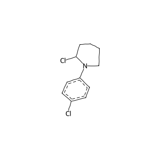 Clc1ccc(N2CCCCC2Cl)cc1